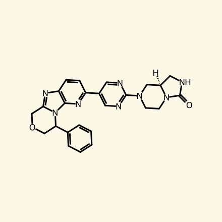 O=C1NC[C@@H]2CN(c3ncc(-c4ccc5nc6n(c5n4)C(c4ccccc4)COC6)cn3)CCN12